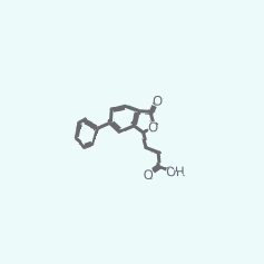 O=C(O)CCC1OC(=O)c2ccc(-c3ccccc3)cc21